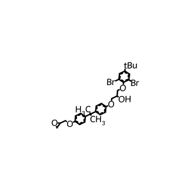 CC(C)(C)c1cc(Br)c(OCC(O)COc2ccc(C(C)(C)c3ccc(OCC4CO4)cc3)cc2)c(Br)c1